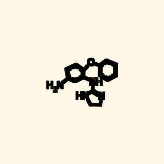 Nc1ccc(Oc2ccccc2)c(NC2=NCCN2)c1